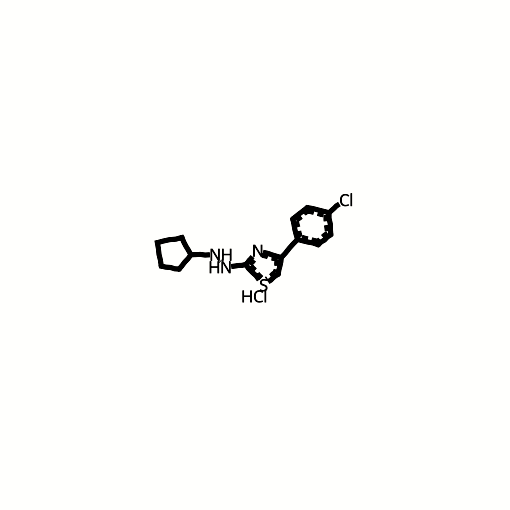 Cl.Clc1ccc(-c2csc(NNC3CCCC3)n2)cc1